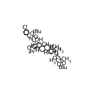 CC(C)C1=C2[C@H]3CC[C@@H]4[C@@]5(C)CC[C@H](OC(=O)CC(C)(C)C(=O)OC(C)(C)C)C(C)(C)[C@@H]5CC[C@@]4(C)[C@]3(C)CC[C@@]2(C(O)CN(Cc2ccc(Cl)cc2)C(=O)OC(C)(C)C)CC1=O